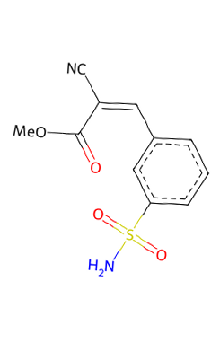 COC(=O)/C(C#N)=C\c1cccc(S(N)(=O)=O)c1